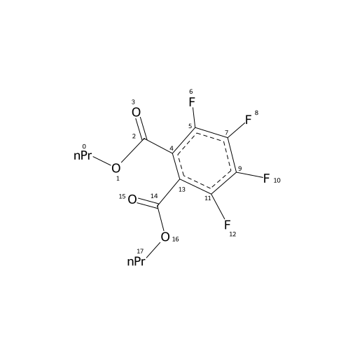 CCCOC(=O)c1c(F)c(F)c(F)c(F)c1C(=O)OCCC